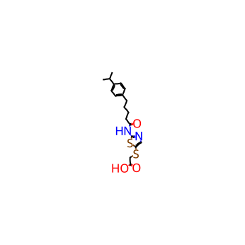 CC(C)c1ccc(CCCCC(=O)Nc2ncc(SCC(=O)O)s2)cc1